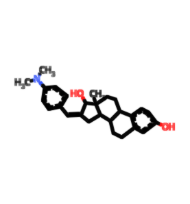 CN(C)c1ccc(C=C2CC3C4CCc5cc(O)ccc5C4CCC3(C)C2O)cc1